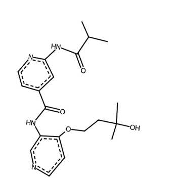 CC(C)C(=O)Nc1cc(C(=O)Nc2cnccc2OCCC(C)(C)O)ccn1